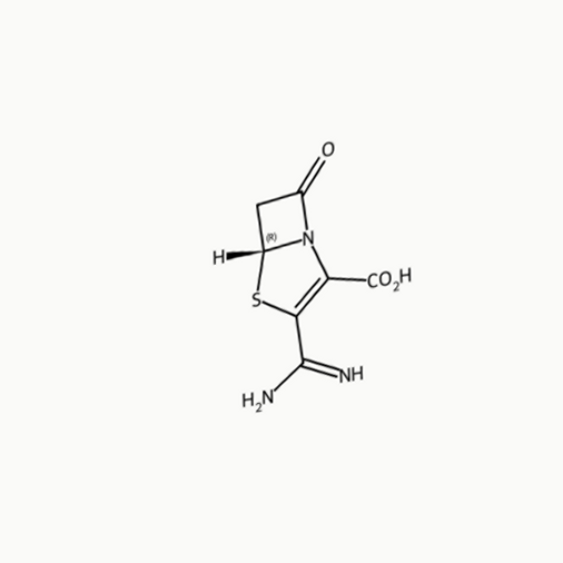 N=C(N)C1=C(C(=O)O)N2C(=O)C[C@H]2S1